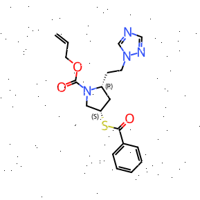 C=CCOC(=O)N1C[C@@H](SC(=O)c2ccccc2)C[C@H]1CCn1cncn1